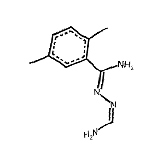 Cc1ccc(C)c(/C(N)=N/N=C\N)c1